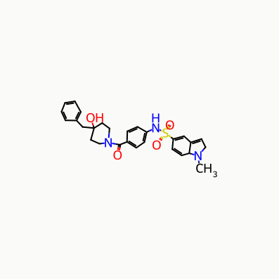 CN1CC=C2C=C(S(=O)(=O)Nc3ccc(C(=O)N4CCC(O)(Cc5ccccc5)CC4)cc3)C=CC21